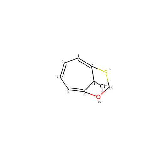 CC1C2=CC=CC=C1SCO2